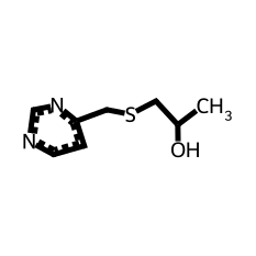 CC(O)CSCc1ccncn1